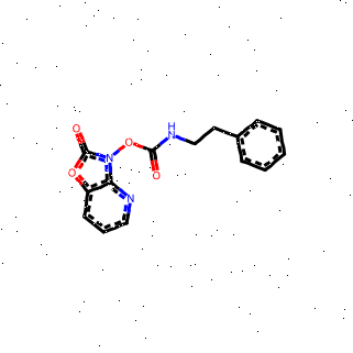 O=C(NCCc1ccccc1)On1c(=O)oc2cccnc21